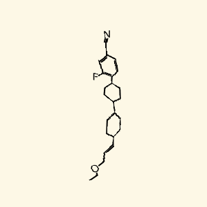 CCOCC=CC1CCC(C2CCC(c3ccc(C#N)cc3F)CC2)CC1